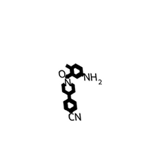 Cc1ccc(N)cc1C(=O)N1CCC(c2ccc(C#N)cc2)CC1